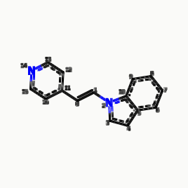 C(=Cn1ccc2ccccc21)c1ccncc1